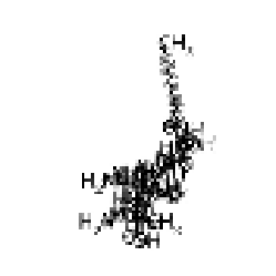 CCCCCCCCCCCCCCCC(=O)NCC(=O)N[C@@H](CO)C(=O)NCC(=O)NC(Cc1c[nH]cn1)C(=O)N[C@@H](Cc1ccccc1)C(=O)N[C@@H](CCCNC(=N)N)C(=O)N[C@@H](CCCCN)C(=O)N[C@@H](CCC(=O)O)C(=O)NC